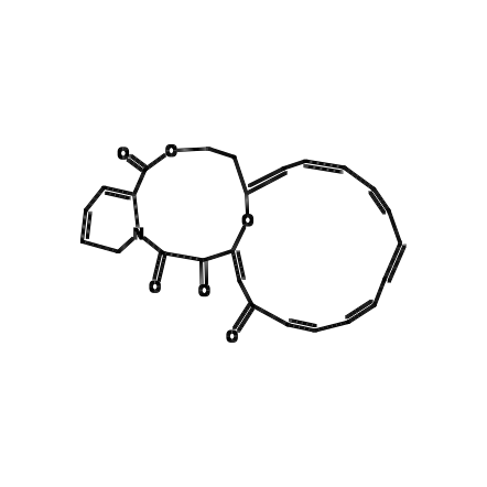 O=C1C=CC=CC=CC=CC=CC=C2CCOC(=O)C3=CC=CCN3C(=O)C(=O)C(=C1)O2